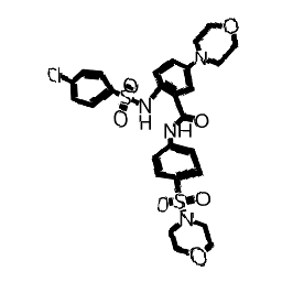 O=C(Nc1ccc(S(=O)(=O)N2CCOCC2)cc1)c1cc(N2CCOCC2)ccc1NS(=O)(=O)c1ccc(Cl)cc1